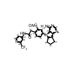 COc1cc(-n2c3c(c4ncnc(N)c42)CCC3)ccc1CC(=O)Nc1ccnc(C(F)(F)F)c1